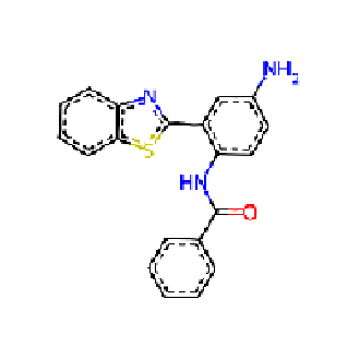 Nc1ccc(NC(=O)c2ccccc2)c(-c2nc3ccccc3s2)c1